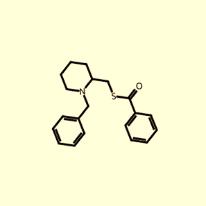 O=C(SCC1CCCCN1Cc1ccccc1)c1ccccc1